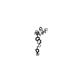 N/C(=N/Cl)N1CCC[C@H]1c1nc(-c2ccc3cc(OCc4ccc(Br)cc4)ccc3c2)no1